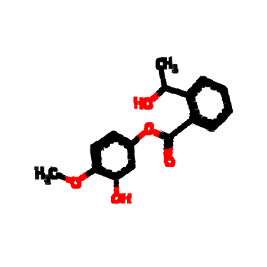 COc1ccc(OC(=O)c2ccccc2C(C)O)cc1O